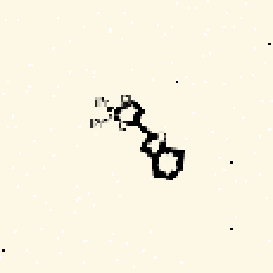 CC(C)[Si](OC(=CCl)c1cc2ccccc2o1)(C(C)C)C(C)C